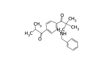 CC(C)C(=O)c1ccc(C(=O)C(C)(C)C)c(NCc2ccccc2)c1